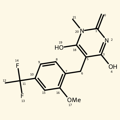 C=C1N=C(O)C(Cc2ccc(C(C)(F)F)cc2OC)=C(O)N1C